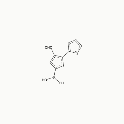 O=Cc1cc(B(O)O)sc1-c1cccs1